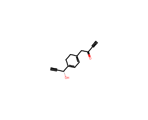 C#CC(=O)CC1=CC=C([C@H](O)C#C)CC1